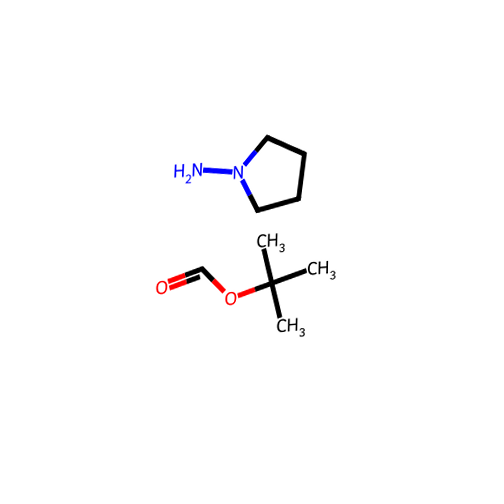 CC(C)(C)OC=O.NN1CCCC1